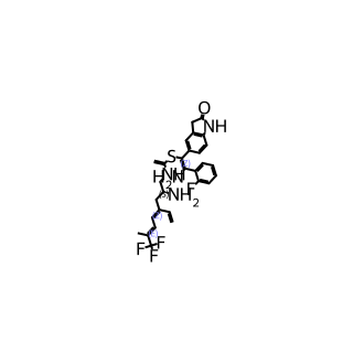 C=C/C(=C\C=C(/C)C(F)(F)F)C[C@H](N)CNC(=C)S/C(=C(\N)c1ccccc1F)c1ccc2c(c1)CC(=O)N2